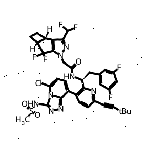 CC(C)(C)C#Cc1ccc(-c2ccc(Cl)n3c(NS(C)(=O)=O)nnc23)c([C@H](Cc2cc(F)cc(F)c2)NC(=O)Cn2nc(C(F)F)c3c2C(F)(F)[C@@H]2CC[C@H]32)n1